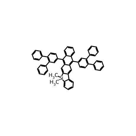 C[Si]1(C)c2ccccc2-c2cc3c(-c4ccc(-c5ccccc5)c(-c5ccccc5)c4)c4ccccc4c(-c4ccc(-c5ccccc5)c(-c5ccccc5)c4)c3cc21